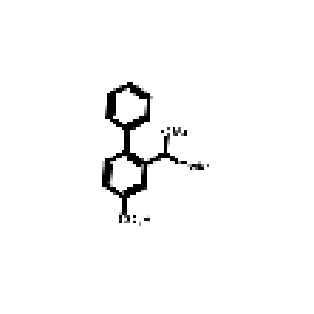 COC(OC)c1cc(C(=O)O)ccc1-c1ccccc1